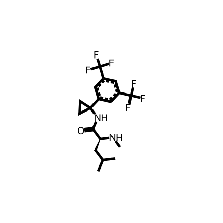 CN[C@@H](CC(C)C)C(=O)NC1(c2cc(C(F)(F)F)cc(C(F)(F)F)c2)CC1